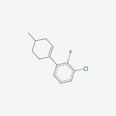 CC1CC=C(c2cccc(Cl)c2F)CC1